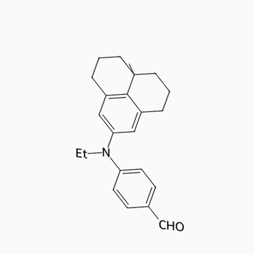 CCN(c1ccc(C=O)cc1)c1cc2c3c(c1)CCCC3(C)CCC2